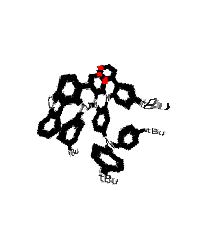 CC(C)(C)c1ccc(N2B3c4ccc(N(c5ccc(C(C)(C)C)cc5)c5ccc(C(C)(C)C)cc5)cc4N(c4ccc(C(C)(C)C)cc4-c4ccccc4)c4cc(C(C)(C)C)cc(c43)-c3ccc4oc5ccccc5c4c32)cc1